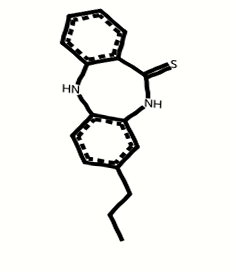 CCCc1ccc2c(c1)NC(=S)c1ccccc1N2